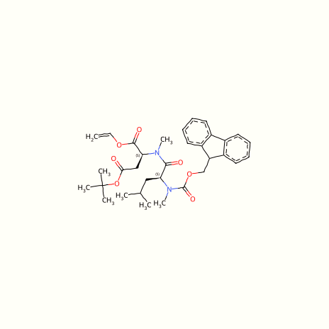 C=COC(=O)[C@H](CC(=O)OC(C)(C)C)N(C)C(=O)[C@H](CC(C)C)N(C)C(=O)OCC1c2ccccc2-c2ccccc21